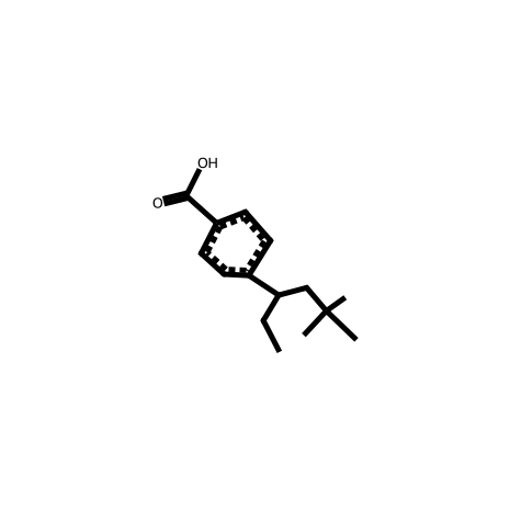 CCC(CC(C)(C)C)c1ccc(C(=O)O)cc1